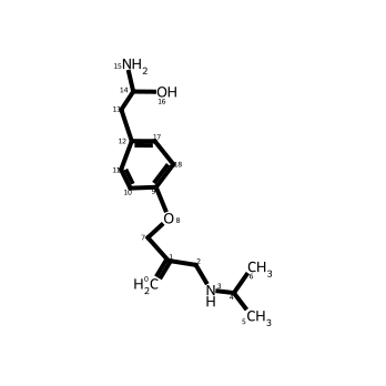 C=C(CNC(C)C)COc1ccc(CC(N)O)cc1